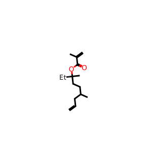 C=CCC(C)CCC(C)(CC)OC(=O)C(=C)C